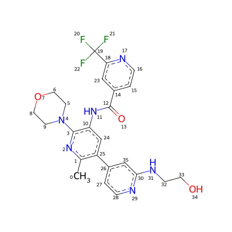 Cc1nc(N2CCOCC2)c(NC(=O)c2ccnc(C(F)(F)F)c2)cc1-c1ccnc(NCCO)c1